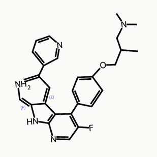 C=C(/C=c1\c(=C/N)[nH]c2ncc(F)c(-c3ccc(OCC(C)CN(C)C)cc3)c12)c1cccnc1